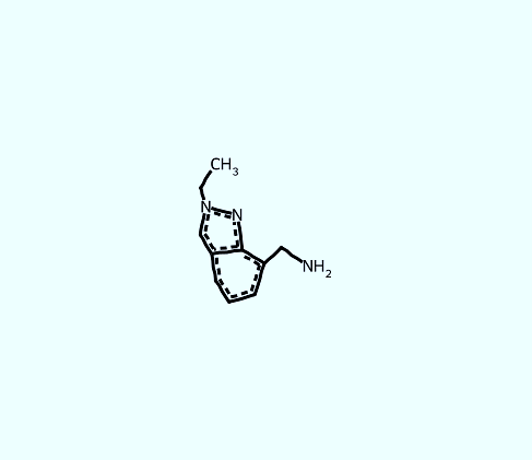 CCn1cc2cccc(CN)c2n1